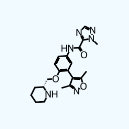 Cc1noc(C)c1-c1cc(NC(=O)c2ncnn2C)ccc1OC[C@H]1CCCCN1